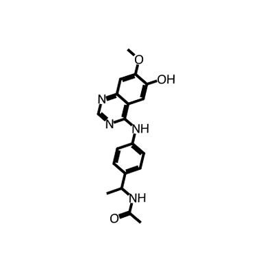 COc1cc2ncnc(Nc3ccc(C(C)NC(C)=O)cc3)c2cc1O